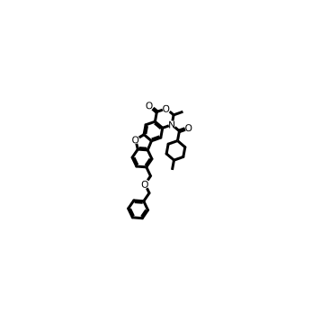 CC1CCC(C(=O)N2c3cc4c(cc3C(=O)OC2C)oc2ccc(COCc3ccccc3)cc24)CC1